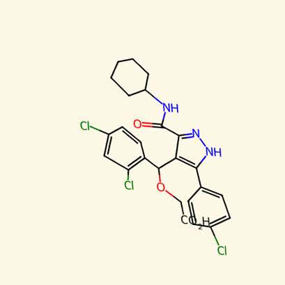 O=C(O)COC(c1ccc(Cl)cc1Cl)c1c(C(=O)NC2CCCCC2)n[nH]c1-c1ccc(Cl)cc1